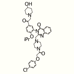 CC(C)Oc1ccc(C(=O)CN2CCC(O)CC2)cc1-n1c(CN2CCN(C(=O)COc3ccc(Cl)cc3)CC2)nc2ccccc2c1=O